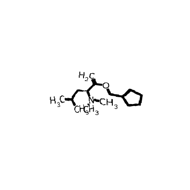 C=C(OCC1CCCC1)[C@H](CC(C)C)N(C)C